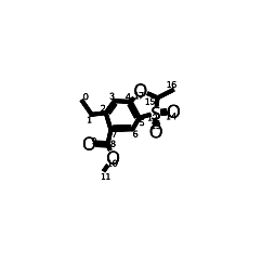 CCc1cc2c(cc1C(=O)OC)S(=O)(=O)C(C)O2